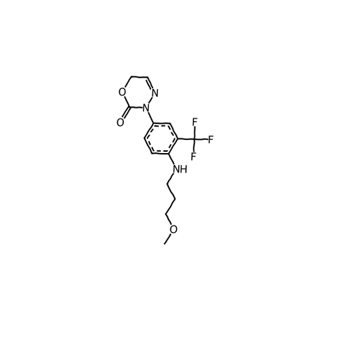 COCCCNc1ccc(N2N=CCOC2=O)cc1C(F)(F)F